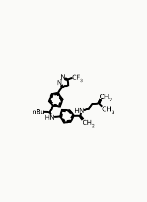 C=C(C)CCNC(=C)c1ccc(NC(CCCC)c2ccc(C3=NN=C(C(F)(F)F)C3)cc2)cc1